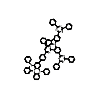 c1ccc(-c2cc(-c3ccc(-c4cc5c6c(c4)N(c4ccccc4)c4ccccc4B6c4ccccc4N5c4ccccc4)cc3)nc(-c3cc(-c4nc(-c5ccccc5)nc(-c5ccccc5)n4)ccc3-n3c4ccccc4c4cc(-c5nc(-c6ccccc6)nc(-c6ccccc6)n5)ccc43)n2)cc1